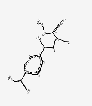 CCC(c1ccc(C(O)CC(C)C(=O)OC(C)(C)C)cc1)C(C)C